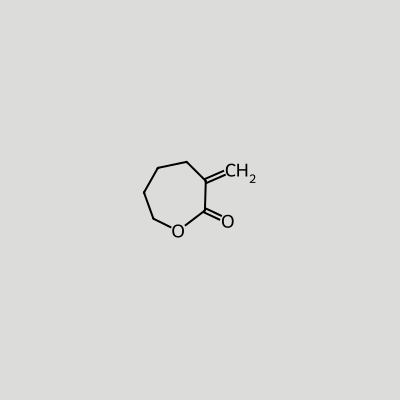 C=C1CCCCOC1=O